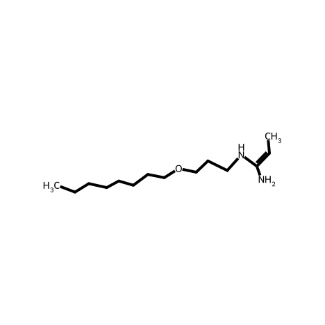 CC=C(N)NCCCOCCCCCCCC